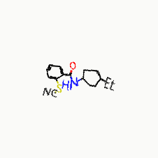 CCC1CCC(NC(=O)c2ccccc2SC#N)CC1